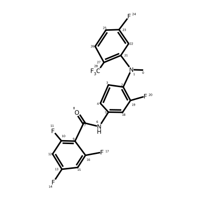 CN(c1ccc(NC(=O)c2c(F)cc(F)cc2F)cc1F)c1cc(F)ccc1C(F)(F)F